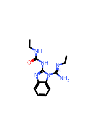 CC/N=C(\N)n1c(NC(=O)NCC)nc2ccccc21